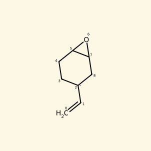 C=C[C]1CCC2OC2C1